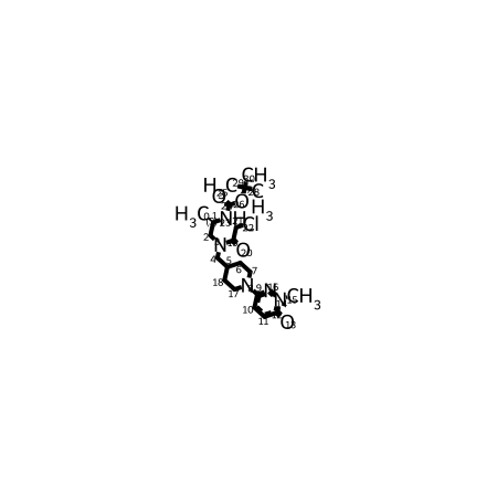 C[C@@H](CN(CC1CCN(c2ccc(=O)n(C)n2)CC1)C(=O)CCl)NC(=O)OC(C)(C)C